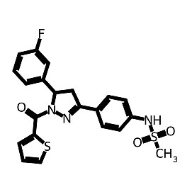 CS(=O)(=O)Nc1ccc(C2=NN(C(=O)c3cccs3)C(c3cccc(F)c3)C2)cc1